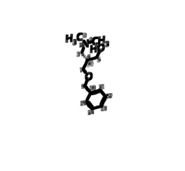 CN(C)C[C@H](CO)COCc1ccccc1